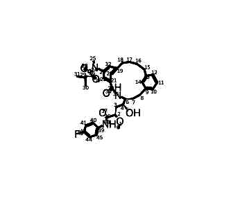 CO[C@H](C[C@H](O)[C@@H]1CCc2cccc(c2)CCCCc2cc(cc(N(C)S(=O)(=O)C(C)C)c2)C(=O)N1)C(=O)Nc1ccc(F)cc1